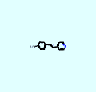 N#Cc1ccc(/C=C/c2ccncc2)cc1